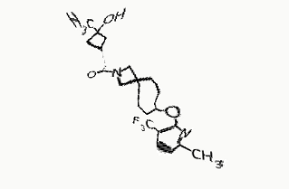 Cc1ccc(C(F)(F)F)c(OC2CCC3(CC2)CN(C(=O)[C@H]2C[C@@](C)(O)C2)C3)n1